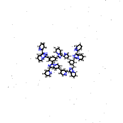 c1ccc(-c2nc(-c3cccc(Cc4nc(-c5cc(-c6ccn7c(-c8cc(-c9nc(-c%10ccccn%10)c%10ccccn9%10)cc(-c9nc(-c%10ccccn%10)c%10ccccn9%10)c8)nc(-c8ccccn8)c7c6)ccn5)c5ccccn45)c3)n3ccccc23)nc1